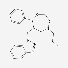 CCCN1CCOC(c2ccccc2)C(Cn2ncc3ccccc32)C1